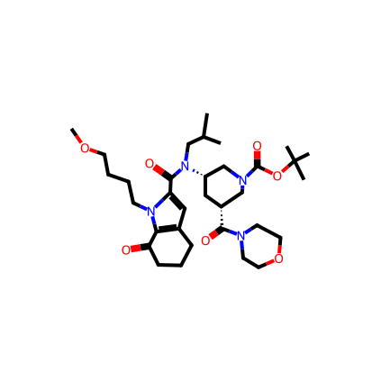 COCCCCn1c(C(=O)N(CC(C)C)[C@H]2C[C@@H](C(=O)N3CCOCC3)CN(C(=O)OC(C)(C)C)C2)cc2c1C(=O)CCC2